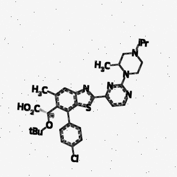 Cc1cc2nc(-c3ccnc(N4CCN(C(C)C)CC4C)n3)sc2c(-c2ccc(Cl)cc2)c1[C@H](OC(C)(C)C)C(=O)O